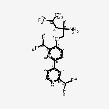 CC(N)(COc1ccc(-c2ccnc(C(F)F)c2)nc1C(F)F)CC(C(F)(F)F)C(F)(F)F